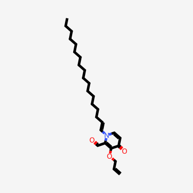 C=CCOc1c(C=O)n(C=CCCCCCCCCCCCCCCCC)ccc1=O